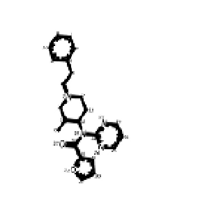 CC1CN(CCc2ccccc2)CCC1N(C(=O)c1ccco1)c1ncccn1